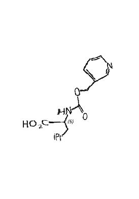 CC(C)C[C@H](NC(=O)OCc1cccnc1)C(=O)O